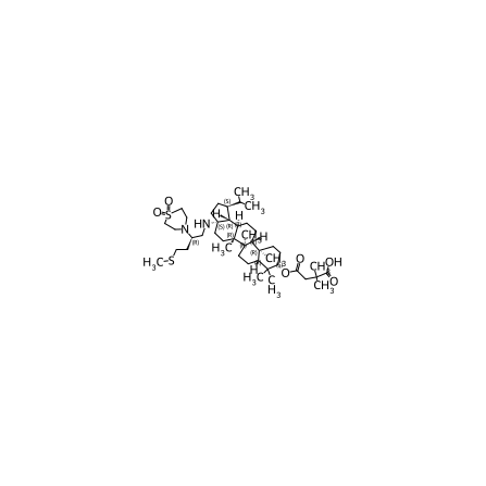 CSCC[C@H](CN[C@]12CC[C@@H](C(C)C)[C@@H]1[C@H]1CC[C@@H]3[C@@]4(C)CC[C@H](OC(=O)CC(C)(C)C(=O)O)C(C)(C)[C@@H]4CC[C@@]3(C)[C@]1(C)CC2)N1CCS(=O)(=O)CC1